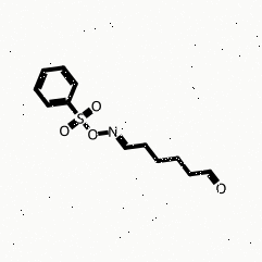 O=CCCCCC=NOS(=O)(=O)c1ccccc1